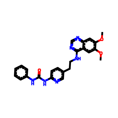 COc1cc2ncnc(NCCc3ccc(NC(=O)Nc4ccccc4)nc3)c2cc1OC